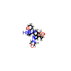 C[C@@H]1COCCN1c1cc(C2(S(C)(=O)=O)CC2)c2ccnc(C3=CCNN3C3CCCCO3)c2n1